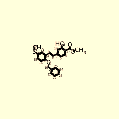 COC(=O)c1ccc(C=Cc2cc(SC)ccc2OCc2ccccc2)cc1O